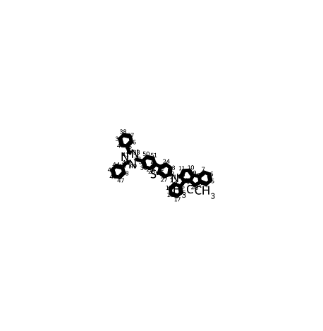 CC1(C)c2ccccc2-c2ccc3c(c21)c1ccccc1n3-c1ccc2c(c1)sc1cc(-c3nc(-c4ccccc4)nc(-c4ccccc4)n3)ccc12